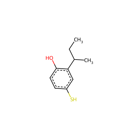 CCC(C)c1cc(S)ccc1O